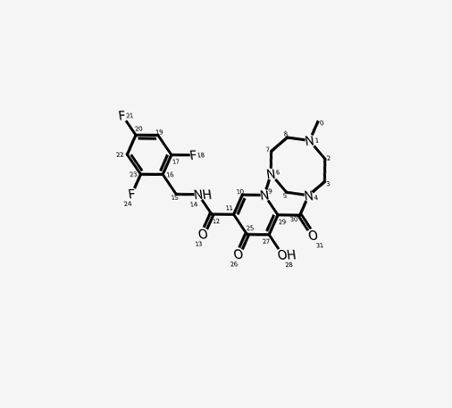 CN1CCN2CN(CC1)n1cc(C(=O)NCc3c(F)cc(F)cc3F)c(=O)c(O)c1C2=O